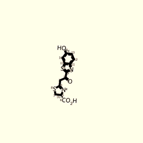 O=C(CC1=N[C@@H](C(=O)O)CS1)c1nc2ccc(O)cc2s1